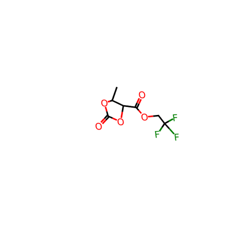 CC1OC(=O)OC1C(=O)OCC(F)(F)F